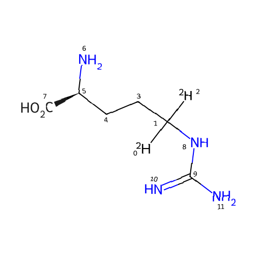 [2H]C([2H])(CC[C@H](N)C(=O)O)NC(=N)N